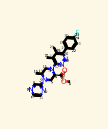 COC(=O)[C@H]1CN(c2cnccn2)C(C)CN1c1nnc(-c2ccc(F)cc2)c(C)c1C